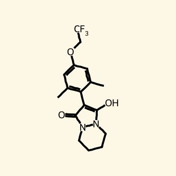 Cc1cc(OCC(F)(F)F)cc(C)c1-c1c(O)n2n(c1=O)CCCC2